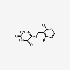 O=c1[nH]nc(SCc2c(F)cccc2Cl)c(=O)[nH]1